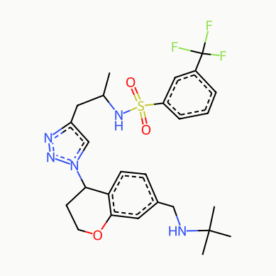 CC(Cc1cn(C2CCOc3cc(CNC(C)(C)C)ccc32)nn1)NS(=O)(=O)c1cccc(C(F)(F)F)c1